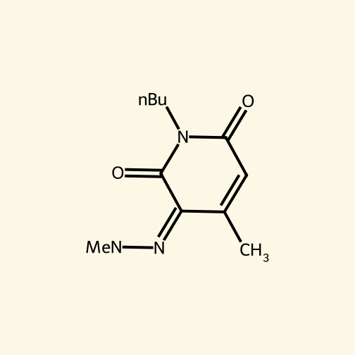 CCCCN1C(=O)C=C(C)/C(=N/NC)C1=O